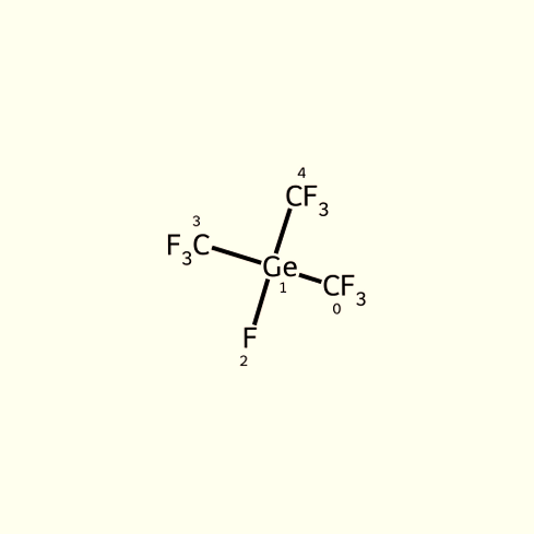 F[C](F)(F)[Ge]([F])([C](F)(F)F)[C](F)(F)F